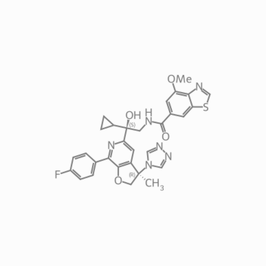 COc1cc(C(=O)NC[C@](O)(c2cc3c(c(-c4ccc(F)cc4)n2)OC[C@]3(C)n2cnnc2)C2CC2)cc2scnc12